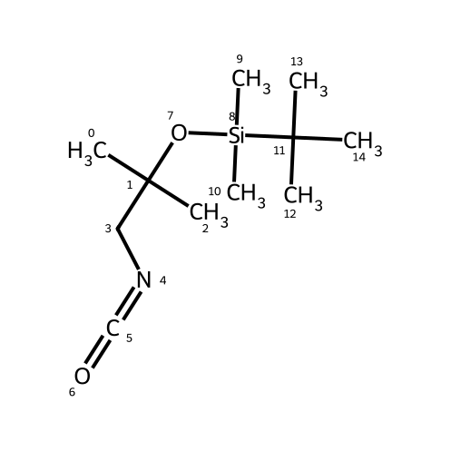 CC(C)(CN=C=O)O[Si](C)(C)C(C)(C)C